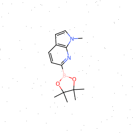 Cn1ccc2ccc(B3OC(C)(C)C(C)(C)O3)nc21